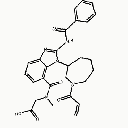 C=CC(=O)N1CCCCC(n2c(NC(=O)c3ccccc3)nc3cccc(C(=O)N(C)CC(=O)O)c32)C1